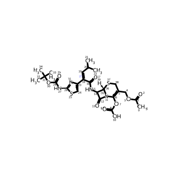 CC(=O)OCC1=C(OC(=O)O)N2C(=O)C(NC(=O)/C(=C\C(C)C)c3csc(NC(=O)OC(C)(C)C)n3)[C@@H]2SC1